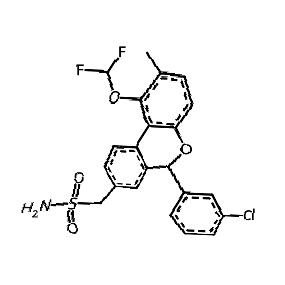 Cc1ccc2c(c1OC(F)F)-c1ccc(CS(N)(=O)=O)cc1C(c1cccc(Cl)c1)O2